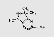 COc1ccc2c(n1)C(C)(C)NC2O